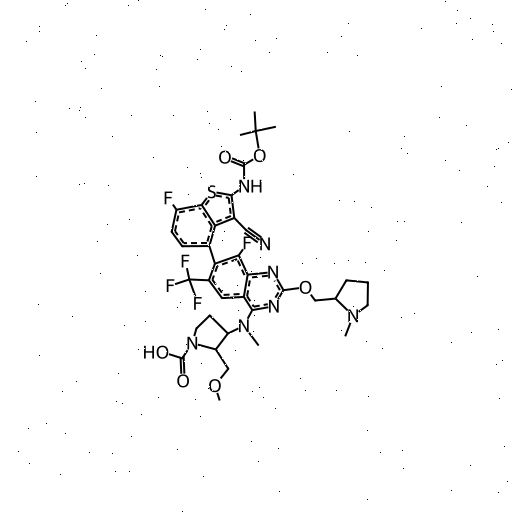 COCC1C(N(C)c2nc(OCC3CCCN3C)nc3c(F)c(-c4ccc(F)c5sc(NC(=O)OC(C)(C)C)c(C#N)c45)c(C(F)(F)F)cc23)CCN1C(=O)O